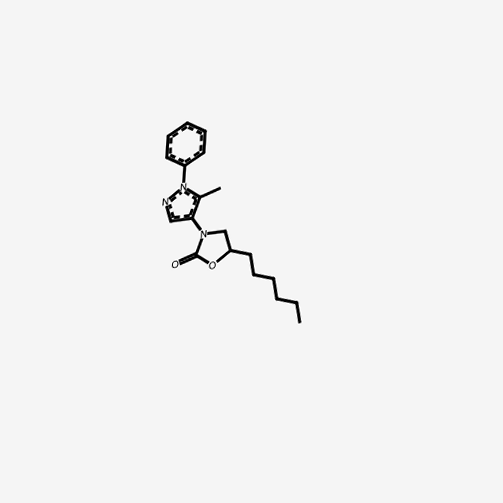 CCCCCCC1CN(c2cnn(-c3ccccc3)c2C)C(=O)O1